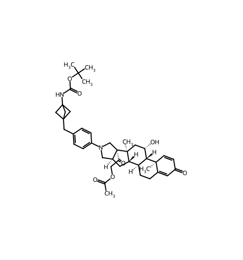 CC(=O)OCC(=O)[C@@]12CN(c3ccc(CC45CC(NC(=O)OC(C)(C)C)(C4)C5)cc3)C[C@@H]1C[C@H]1[C@@H]3CCC4=CC(=O)C=C[C@]4(C)[C@H]3[C@@H](O)C[C@@]12C